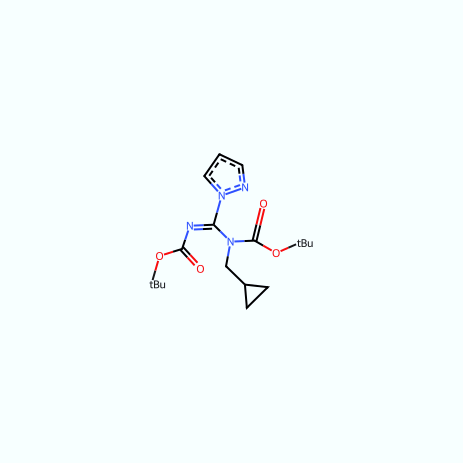 CC(C)(C)OC(=O)/N=C(\N(CC1CC1)C(=O)OC(C)(C)C)n1cccn1